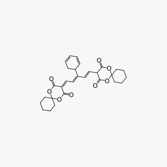 O=C1OC2(CCCCC2)OC(=O)C1=C/C=C(/C=C/C1C(=O)OC2(CCCCC2)OC1=O)C1C=CC=CC1